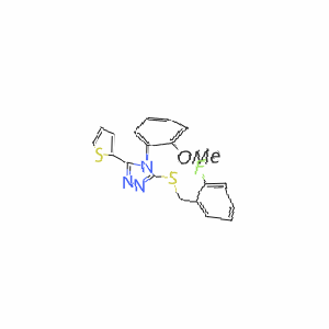 COc1ccccc1-n1c(SCc2ccccc2F)nnc1-c1cccs1